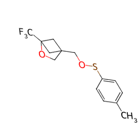 Cc1ccc(SOCC23COC(C(F)(F)F)(C2)C3)cc1